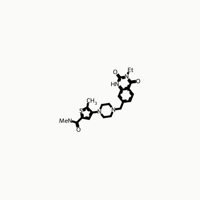 CCn1c(=O)[nH]c2cc(CN3CCN(c4cc(C(=O)NC)sc4C)CC3)ccc2c1=O